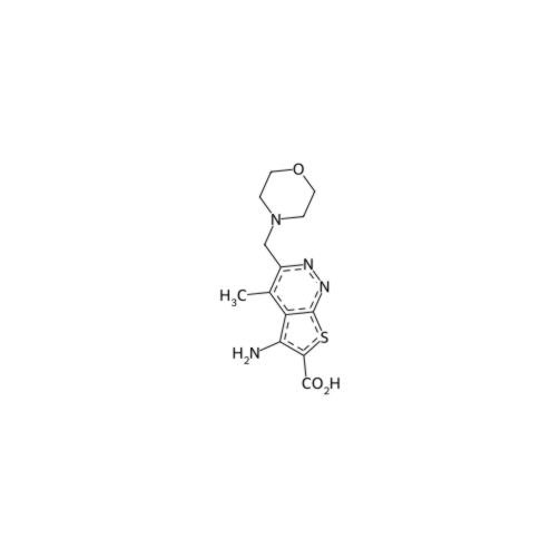 Cc1c(CN2CCOCC2)nnc2sc(C(=O)O)c(N)c12